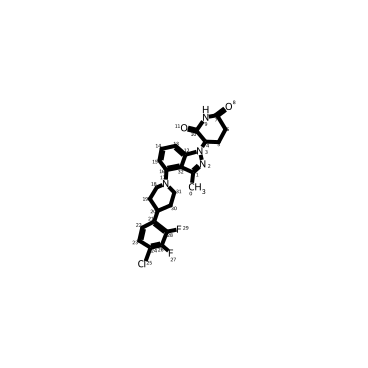 Cc1nn(C2CCC(=O)NC2=O)c2cccc(N3CCC(c4ccc(Cl)c(F)c4F)CC3)c12